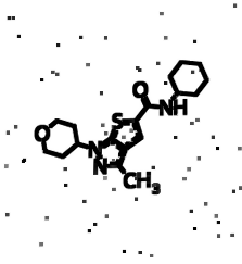 Cc1nn(C2CCOCC2)c2sc(C(=O)NC3CCCCC3)cc12